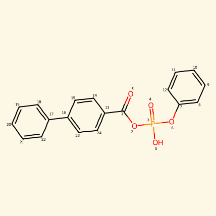 O=C(OP(=O)(O)Oc1ccccc1)c1ccc(-c2ccccc2)cc1